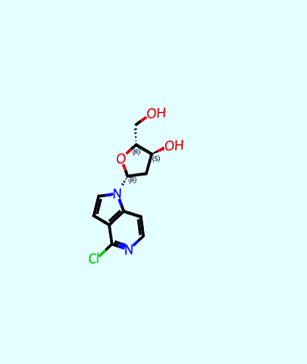 OC[C@H]1O[C@@H](n2ccc3c(Cl)nccc32)C[C@@H]1O